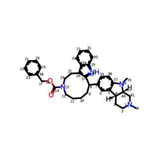 CN1CC[C@@H]2c3cc(C4CCCCN(C(=O)OCc5ccccc5)CCc5c4[nH]c4ccccc54)ccc3N(C)[C@@H]2C1